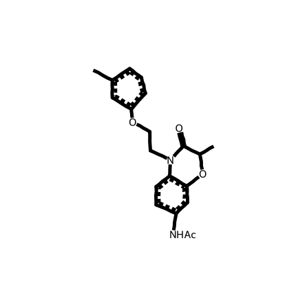 CC(=O)Nc1ccc2c(c1)OC(C)C(=O)N2CCOc1cccc(C)c1